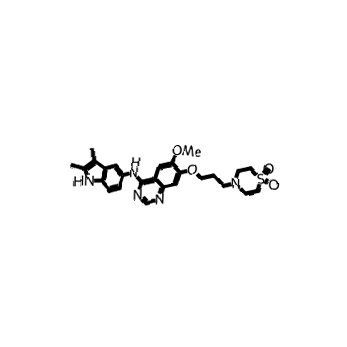 COc1cc2c(Nc3ccc4[nH]c(C)c(C)c4c3)ncnc2cc1OCCCN1CCS(=O)(=O)CC1